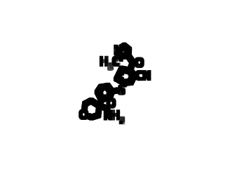 Cn1nccc1C(=O)c1ccc(Sc2cccc(C3(C(N)=O)CCOCC3)c2)cc1C#N